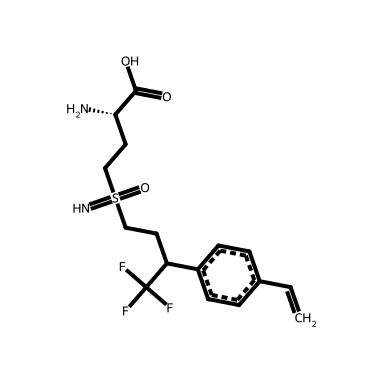 C=Cc1ccc(C(CCS(=N)(=O)CC[C@H](N)C(=O)O)C(F)(F)F)cc1